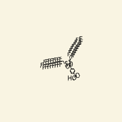 O=C(O)c1ccc(C(OSCCC(F)(F)C(F)(F)C(F)(F)C(F)(F)C(F)(F)C(F)(F)C(F)(F)C(F)(F)F)OSCCC(F)(F)C(F)(F)C(F)(F)C(F)(F)C(F)(F)C(F)(F)C(F)(F)C(F)(F)F)cc1